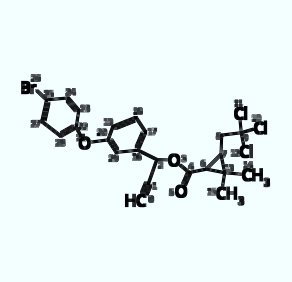 C#CC(OC(=O)C1C(CC(Cl)(Cl)Cl)C1(C)C)c1cccc(Oc2ccc(Br)cc2)c1